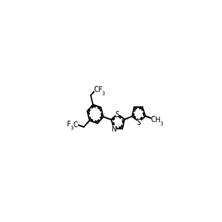 Cc1ccc(-c2cnc(-c3cc(CC(F)(F)F)cc(CC(F)(F)F)c3)s2)s1